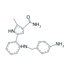 Cc1[nH]c(-c2ccccc2NCc2ccc(N)cc2)cc1C(N)=O